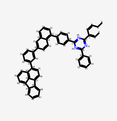 C/C=C(\C=C/CC)c1nc(-c2ccccc2)nc(-c2ccc(-c3cccc4cc(-c5cccc(-c6ccc7c8c(cccc68)-c6ccccc6-7)c5)ccc34)cc2)n1